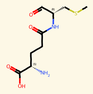 CSC[C@@H]([C]=O)NC(=O)CC[C@H](N)C(=O)O